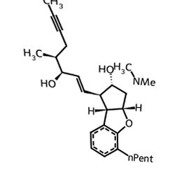 CC#CC[C@H](C)[C@H](O)C=C[C@@H]1[C@H]2c3cccc(CCCCC)c3O[C@H]2C[C@H]1O.CNC